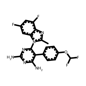 Cc1nc2c(F)cc(F)cc2n1-c1nc(N)nc(N)c1-c1ccc(OC(F)F)cc1